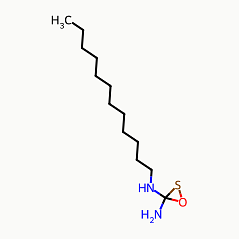 CCCCCCCCCCCCNC1(N)OS1